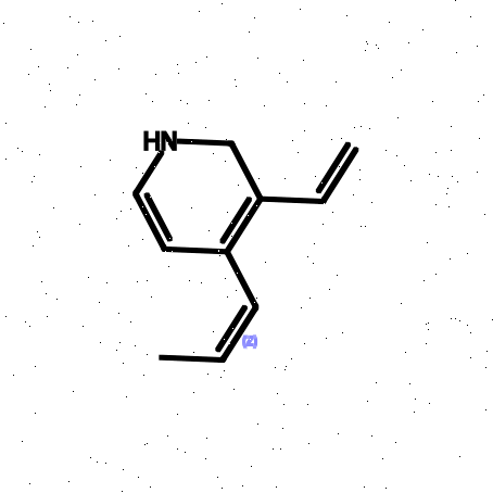 C=CC1=C(/C=C\C)C=CNC1